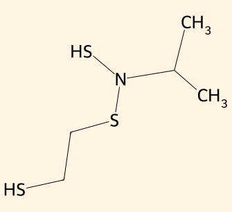 CC(C)N(S)SCCS